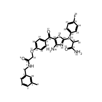 Cc1cccc(CNC(=O)COc2ccc(C(=O)c3sc(N(c4ccc(F)cc4)C(C)C(N)=O)nc3N)cc2)c1